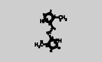 Cc1cc[pH]c1[P][P]c1[pH]ccc1C